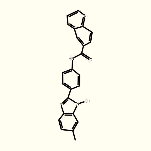 Cc1ccc2nc(-c3ccc(NC(=O)c4ccc5ncccc5c4)cc3)n(O)c2c1